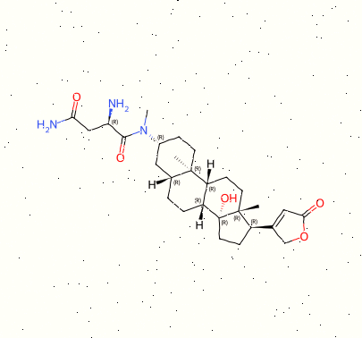 CN(C(=O)[C@H](N)CC(N)=O)[C@@H]1CC[C@]2(C)[C@H](CC[C@@H]3[C@H]2CC[C@]2(C)[C@@H](C4=CC(=O)OC4)CC[C@@]32O)C1